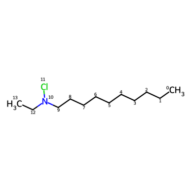 CCCCCCCCCCN(Cl)CC